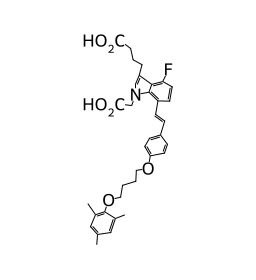 Cc1cc(C)c(OCCCCOc2ccc(C=Cc3ccc(F)c4c(CCCC(=O)O)cn(CC(=O)O)c34)cc2)c(C)c1